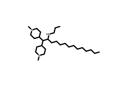 CCCCCCCCCCCCC(NCCC)C(C1CCN(C)CC1)C1CCN(C)CC1